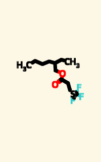 CCCCC(CC)COC(=O)CC[Si](F)(F)F